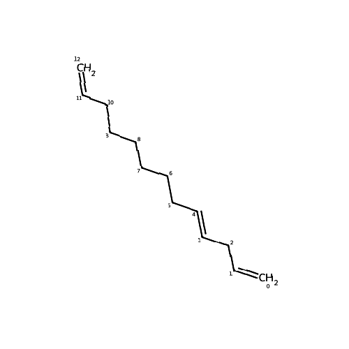 C=CCC=CCCCCCCC=C